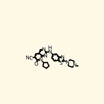 CN1CCN(c2nc3cc(Nc4ncc5cc(C#N)c(=O)n(C6CCCC6)c5n4)ccc3s2)CC1